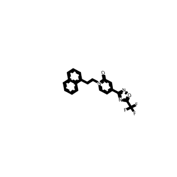 O=c1cc(-c2noc(C(F)(F)F)n2)ccn1CCc1cccc2ccccc12